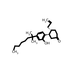 C=CC[C@@H]1CCC(=O)C[C@H]1c1ccc(C(C)(C)CCCCCC)cc1O